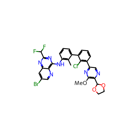 COc1nc(-c2cccc(-c3cccc(Nc4nc(C(F)F)nc5cc(Br)cnc45)c3C)c2Cl)cnc1C1OCCO1